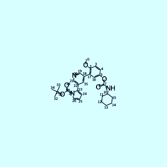 COc1ccc(OC(=O)NC2CCCCC2)cc1-c1cncc(-c2cccn2C(=O)OC(C)(C)C)c1